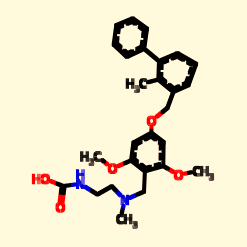 COc1cc(OCc2cccc(-c3ccccc3)c2C)cc(OC)c1CN(C)CCNC(=O)O